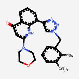 CCCCc1c(Cn2cc(-c3cccc4c(=O)cc(N5CCOCC5)[nH]c34)nn2)cccc1C(=O)O